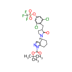 CC(C)(C)OC(=O)n1ncc2c1CCC[C@H]2N1CCC(Cc2c(Cl)cc(OS(=O)(=O)C(F)(F)F)cc2Cl)C1=O